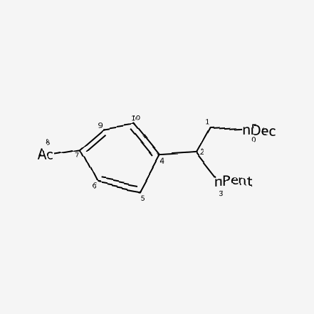 CCCCCCCCCCCC(CCCCC)c1ccc(C(C)=O)cc1